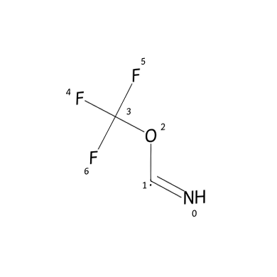 N=[C]OC(F)(F)F